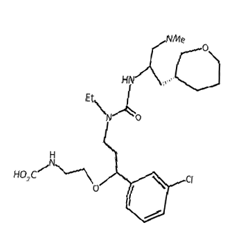 CCN(CCC(OCCNC(=O)O)c1cccc(Cl)c1)C(=O)NC(CNC)C[C@H]1CCCOC1